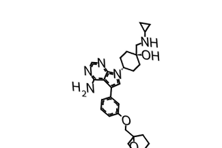 Nc1ncnc2c1c(-c1cccc(OCC34CCC(CC3)O4)c1)cn2[C@H]1CC[C@@](O)(CNC2CC2)CC1